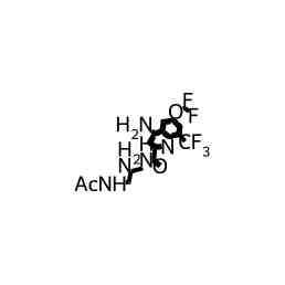 CC(=O)NCC(N)CNC(=O)c1cc(N)c2cc(OC(F)F)cc(C(F)(F)F)c2n1